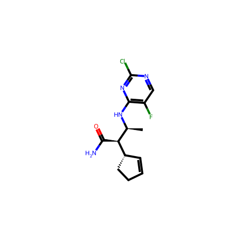 C[C@H](Nc1nc(Cl)ncc1F)[C@H](C(N)=O)[C@@H]1C=CCC1